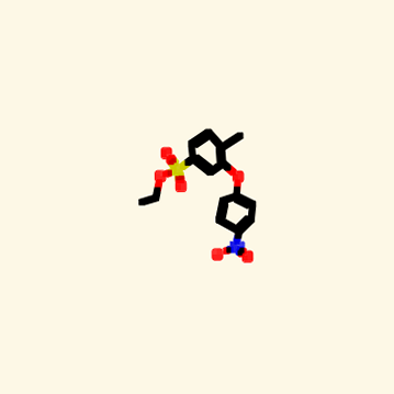 CCOS(=O)(=O)c1ccc(C)c(Oc2ccc([N+](=O)[O-])cc2)c1